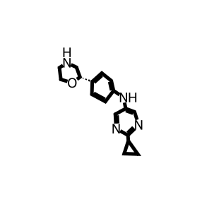 c1cc([C@H]2CNCCO2)ccc1Nc1cnc(C2CC2)nc1